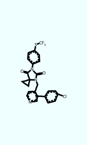 O=C1N(c2ccc(SC(F)(F)F)cc2)C(=O)C2(CC2)N1Cc1ccncc1-c1ccc(Cl)cc1